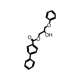 O=C(OCC(O)COc1ccccc1)c1ccc(-c2ccccc2)cc1